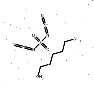 CCCCCC[SiH3].[N-]=[N+]=NS(=O)(=O)N=[N+]=[N-]